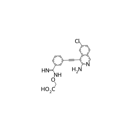 N=C(NOCC(=O)O)c1cccc(C#Cc2c(N)ncc3ccc(Cl)cc23)c1